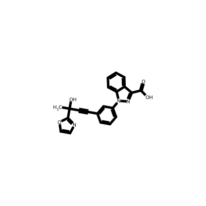 CC(O)(C#Cc1cccc(-n2nc(C(=O)O)c3ccccc32)c1)c1ncco1